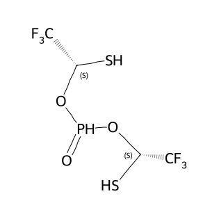 O=[PH](O[C@@H](S)C(F)(F)F)O[C@@H](S)C(F)(F)F